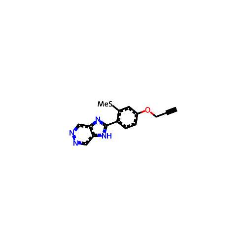 C#CCOc1ccc(-c2nc3cnncc3[nH]2)c(SC)c1